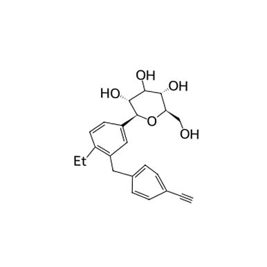 C#Cc1ccc(Cc2cc([C@@H]3O[C@H](CO)[C@@H](O)C(O)[C@H]3O)ccc2CC)cc1